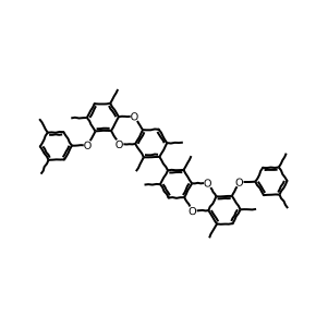 Cc1cc(C)cc(Oc2c(C)cc(C)c3c2Oc2c(cc(C)c(-c4c(C)cc5c(c4C)Oc4c(Oc6cc(C)cc(C)c6)c(C)cc(C)c4O5)c2C)O3)c1